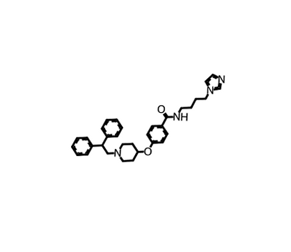 O=C(NCCCCn1ccnc1)c1ccc(OC2CCN(CC(c3ccccc3)c3ccccc3)CC2)cc1